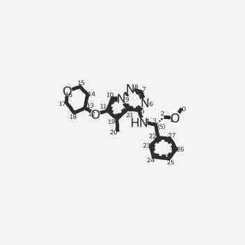 COC[C@@H](Nc1ncnn2cc(OC3CCOCC3)c(C)c12)c1ccccc1